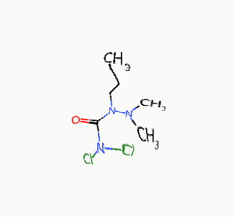 CCCN(C(=O)N(Cl)Cl)N(C)C